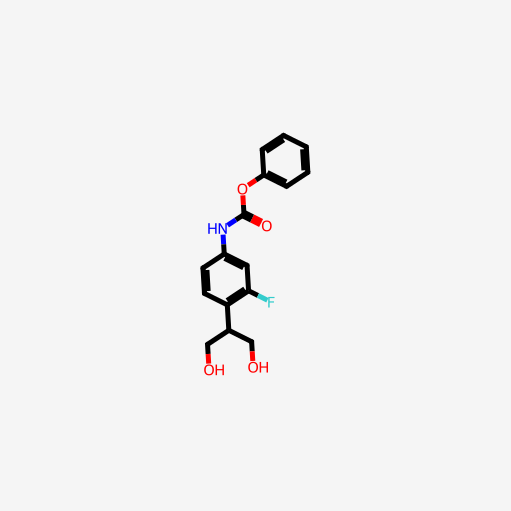 O=C(Nc1ccc(C(CO)CO)c(F)c1)Oc1ccccc1